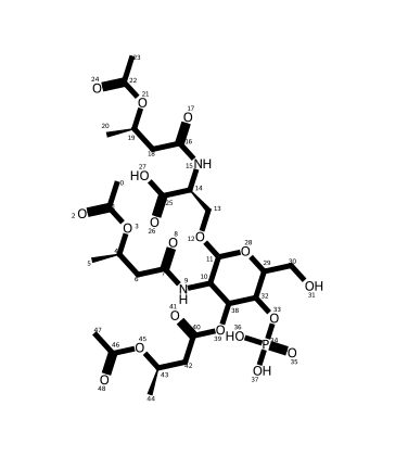 CC(=O)O[C@H](C)CC(=O)NC1C(OC[C@H](NC(=O)C[C@@H](C)OC(C)=O)C(=O)O)OC(CO)C(OP(=O)(O)O)C1OC(=O)C[C@@H](C)OC(C)=O